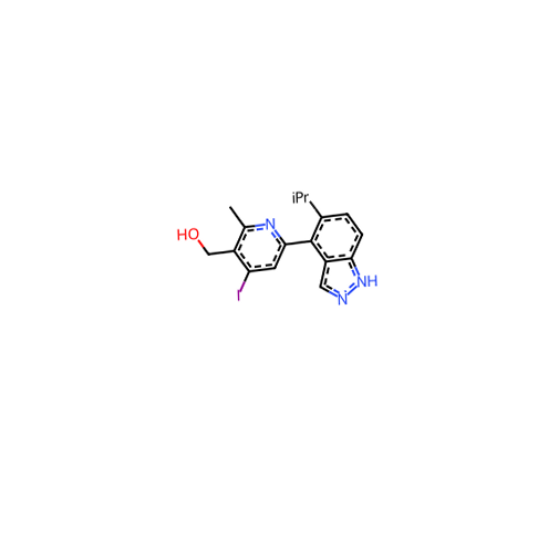 Cc1nc(-c2c(C(C)C)ccc3[nH]ncc23)cc(I)c1CO